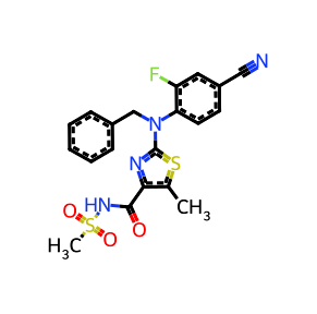 Cc1sc(N(Cc2ccccc2)c2ccc(C#N)cc2F)nc1C(=O)NS(C)(=O)=O